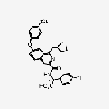 CC(C)(C)c1ccc(Oc2ccc3cc(C(=O)N[C@H](C(=O)O)C4C=CC(Cl)=CC4)nc(CC4CCCC4)c3c2)cc1